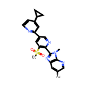 CCS(=O)(=O)c1cc(-c2cc(C3CC3)ccn2)cnc1-c1nc2cc(C(C)=O)cnc2n1C